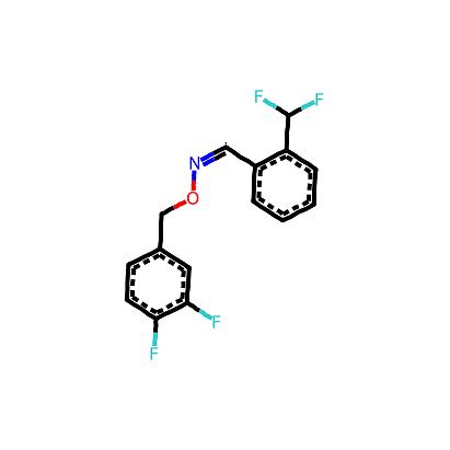 Fc1ccc(CO/N=[C]\c2ccccc2C(F)F)cc1F